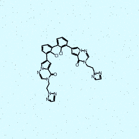 O=c1c2cc(-c3cccc(-c4cccc(-c5cc6c(=O)n(CCn7nccn7)cnn6c5)c4Cl)c3Cl)cn2ncn1CCn1nccn1